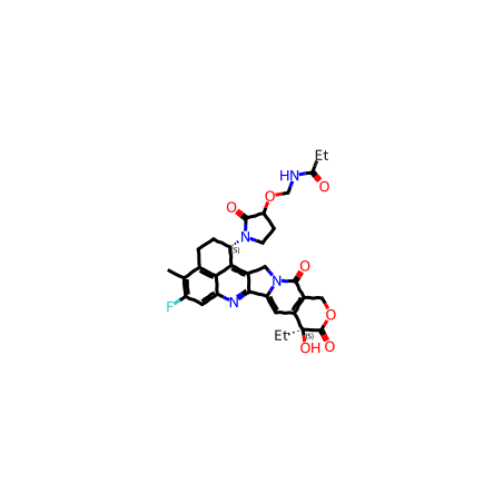 CCC(=O)NCOC1CCN([C@H]2CCc3c(C)c(F)cc4nc5c(c2c34)Cn2c-5cc3c(c2=O)COC(=O)[C@]3(O)CC)C1=O